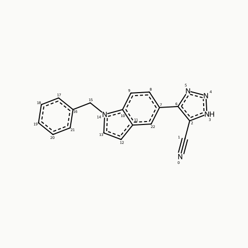 N#Cc1[nH]nnc1-c1ccc2c(ccn2Cc2ccccc2)c1